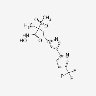 CC(CCn1cc(-c2ccc(C(F)(F)F)cn2)cn1)(C(=O)NO)S(C)(=O)=O